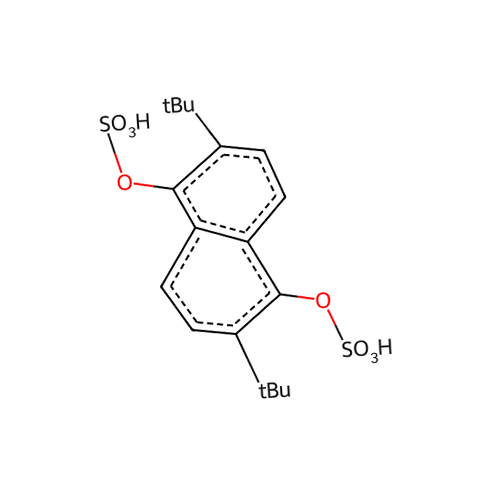 CC(C)(C)c1ccc2c(OS(=O)(=O)O)c(C(C)(C)C)ccc2c1OS(=O)(=O)O